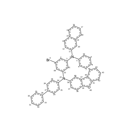 Brc1cc(N(c2ccccc2)c2ccc3ccccc3c2)cc(N(c2ccc(-c3ccccc3)cc2)c2ccc3oc4ccccc4c3c2)c1